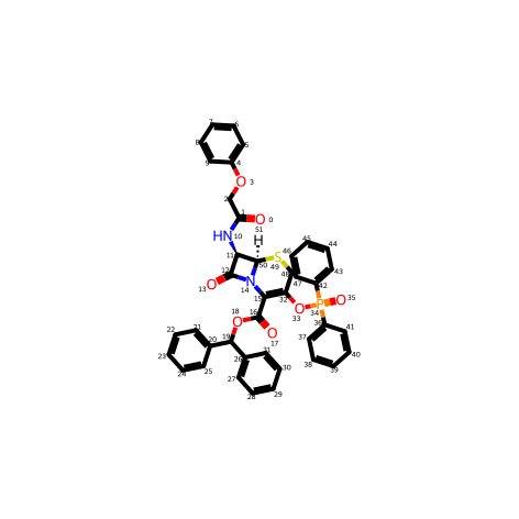 O=C(COc1ccccc1)N[C@@H]1C(=O)N2C(C(=O)OC(c3ccccc3)c3ccccc3)=C(OP(=O)(c3ccccc3)c3ccccc3)CS[C@H]12